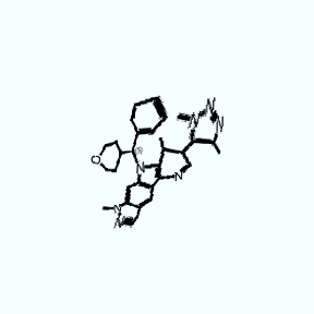 Cc1nnn(C)c1C1C=Nc2c(n([C@H](c3ccccc3)C3CCOCC3)c3cc4c(cnn4C)cc23)C1C